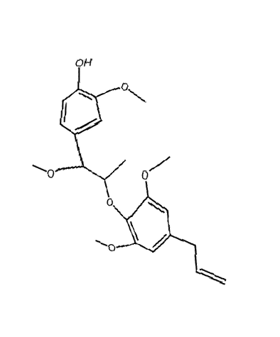 C=CCc1cc(OC)c(OC(C)C(OC)c2ccc(O)c(OC)c2)c(OC)c1